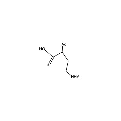 CC(=O)NCCC(C(C)=O)C(O)=S